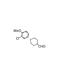 COc1ccc([C@H]2CC[C@H](C=O)CC2)cc1Cl